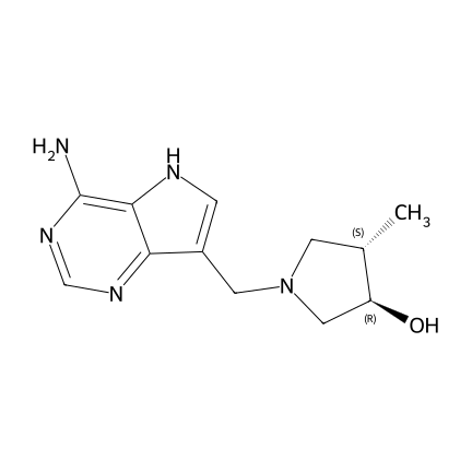 C[C@H]1CN(Cc2c[nH]c3c(N)ncnc23)C[C@@H]1O